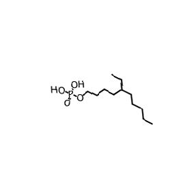 CCCCCC(CC)CCCCOP(=O)(O)O